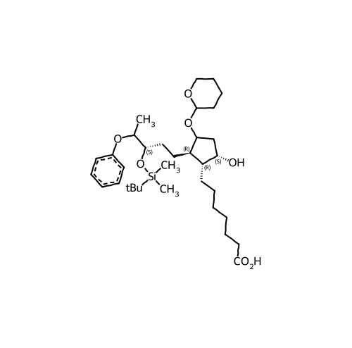 CC(Oc1ccccc1)[C@H](CC[C@H]1C(OC2CCCCO2)C[C@H](O)[C@@H]1CCCCCCC(=O)O)O[Si](C)(C)C(C)(C)C